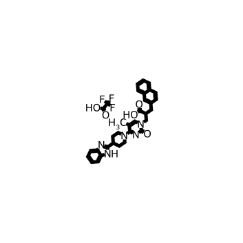 Cc1cn(CC(Cc2ccc3ccccc3c2)C(=O)O)c(=O)nc1N1CCC(c2nc3ccccc3[nH]2)CC1.O=C(O)C(F)(F)F